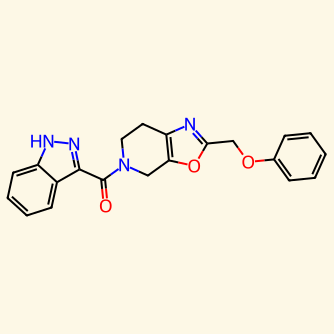 O=C(c1n[nH]c2ccccc12)N1CCc2nc(COc3ccccc3)oc2C1